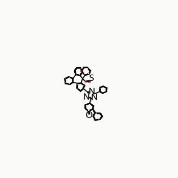 c1ccc(-c2nc(-c3ccc4c(c3)C3(c5ccccc5Sc5ccccc53)c3ccccc3-c3ccccc3-4)nc(-c3ccc4oc5ccccc5c4c3)n2)cc1